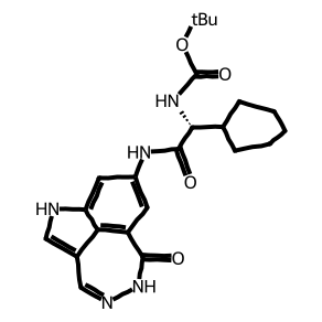 CC(C)(C)OC(=O)N[C@@H](C(=O)Nc1cc2c3c(c[nH]c3c1)C=NNC2=O)C1CCCCC1